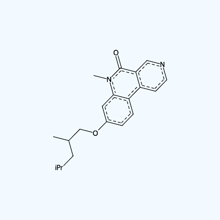 CC(C)CC(C)COc1ccc2c3ccncc3c(=O)n(C)c2c1